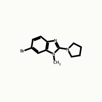 Cn1c(N2CCCC2)nc2ccc(Br)cc21